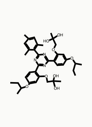 CCC(C)Oc1ccc(-c2nc(-c3ccc(OC(C)CC)cc3OCC(C)(O)O)nc(-c3c(C)cc(C)cc3C)n2)c(OCC(C)(O)O)c1